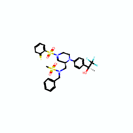 C[C@](O)(c1ccc(N2CCN(S(=O)(=O)C3=CC=CCC3=S)C[C@@H]2CN(Cc2ccccc2)S(C)(=O)=O)cc1)C(F)(F)F